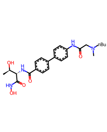 CCCCN(C)CC(=O)Nc1ccc(-c2ccc(C(=O)N[C@H](C(=O)NO)[C@@H](C)O)cc2)cc1